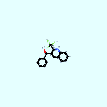 O=C(c1ccccc1)c1cc2ccccc2nc1C(F)(F)F